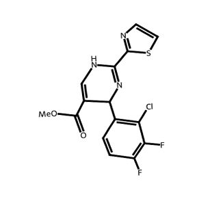 COC(=O)C1=CNC(c2nccs2)=NC1c1ccc(F)c(F)c1Cl